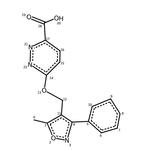 Cc1onc(-c2ccccc2)c1COc1ccc(C(=O)O)nn1